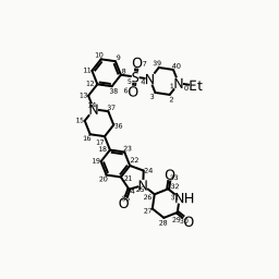 CCN1CCN(S(=O)(=O)c2cccc(CN3CCC(c4ccc5c(c4)CN(C4CCC(=O)NC4=O)C5=O)CC3)c2)CC1